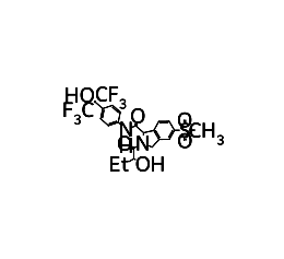 CCC(O)C(=O)N1Cc2cc(S(C)(=O)=O)ccc2C1C(=O)Nc1ccc(C(O)(C(F)(F)F)C(F)(F)F)cc1